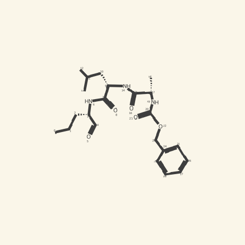 CCC[C@@H](C=O)NC(=O)[C@H](CC(C)C)NC(=O)[C@H](C)NC(=O)OCc1ccccc1